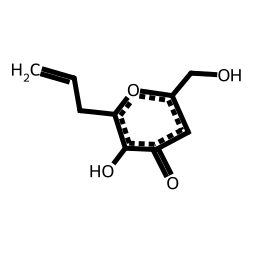 C=CCc1oc(CO)cc(=O)c1O